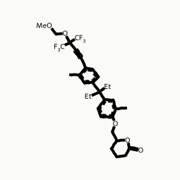 CCC(CC)(c1ccc(C#CC(OCOC)(C(F)(F)F)C(F)(F)F)c(C)c1)c1ccc(OCC2CCCC(=O)O2)c(C)c1